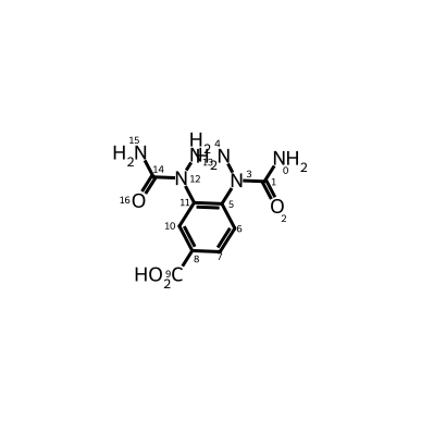 NC(=O)N(N)c1ccc(C(=O)O)cc1N(N)C(N)=O